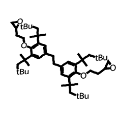 CC(C)(C)CC(C)(C)c1cc(CCc2cc(C(C)(C)CC(C)(C)C)c(OCCC3CO3)c(C(C)(C)CC(C)(C)C)c2)cc(C(C)(C)CC(C)(C)C)c1OCCC1CO1